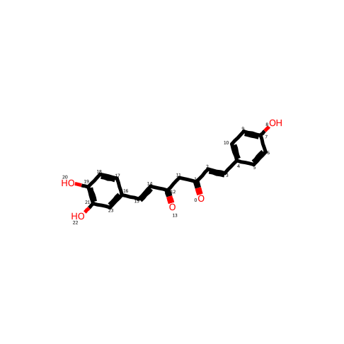 O=C(/C=C/c1ccc(O)cc1)CC(=O)/C=C/c1ccc(O)c(O)c1